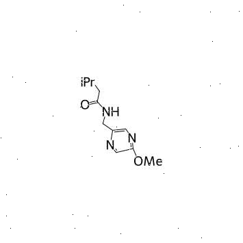 COc1cnc(CNC(=O)CC(C)C)cn1